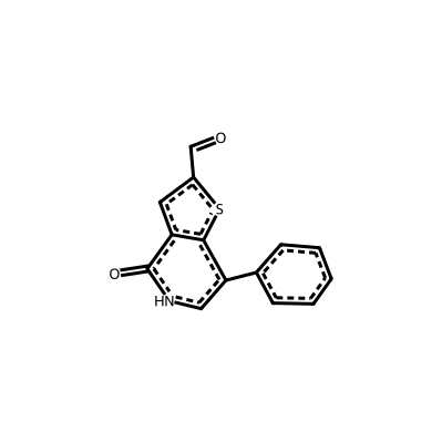 O=Cc1cc2c(=O)[nH]cc(-c3ccccc3)c2s1